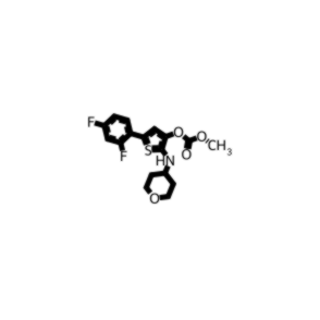 COC(=O)Oc1cc(-c2ccc(F)cc2F)sc1NC1CCOCC1